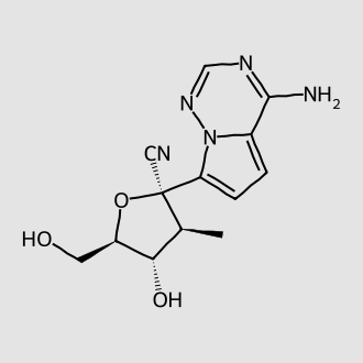 C[C@H]1[C@H](O)[C@@H](CO)O[C@@]1(C#N)c1ccc2c(N)ncnn12